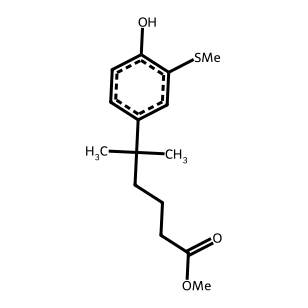 COC(=O)CCCC(C)(C)c1ccc(O)c(SC)c1